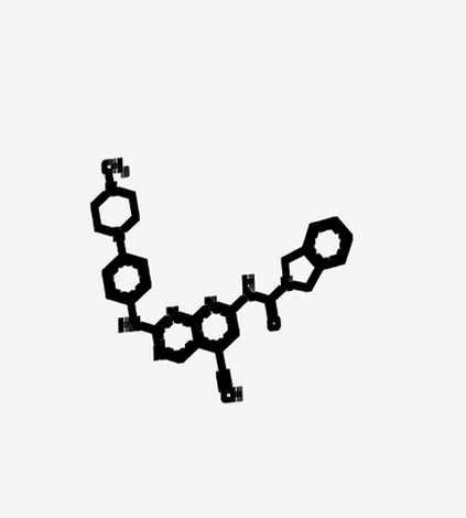 C#Cc1cc(NC(=O)N2Cc3ccccc3C2)nc2nc(Nc3ccc(N4CCN(C)CC4)cc3)ncc12